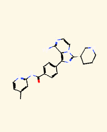 Cc1ccnc(NC(=O)c2ccc(-c3nc([C@@H]4CCCNC4)n4ccnc(N)c34)cc2)c1